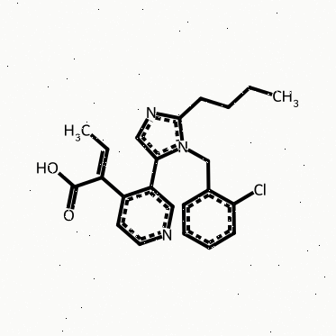 CC=C(C(=O)O)c1ccncc1-c1cnc(CCCC)n1Cc1ccccc1Cl